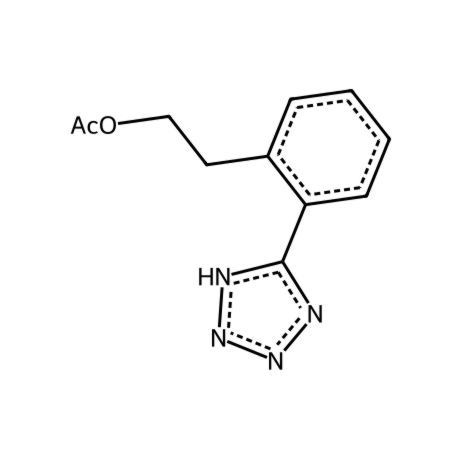 CC(=O)OCCc1ccccc1-c1nnn[nH]1